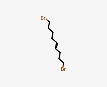 BrCCCC=CCCCCBr